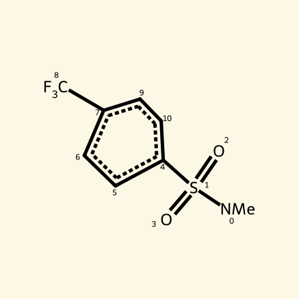 [CH2-][NH2+]S(=O)(=O)c1ccc(C(F)(F)F)cc1